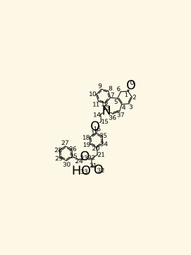 O=C1C=CC2=C(C1)c1ccccc1N(CCOc1ccc(CC(OCc3ccccc3)C(=O)O)cc1)C=C2